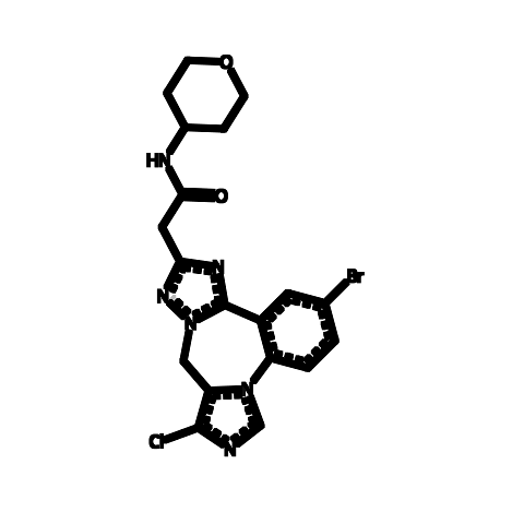 O=C(Cc1nc2n(n1)Cc1c(Cl)ncn1-c1ccc(Br)cc1-2)NC1CCOCC1